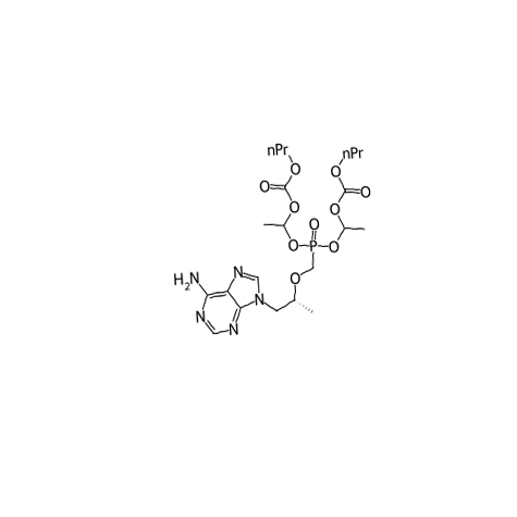 CCCOC(=O)OC(C)OP(=O)(CO[C@H](C)Cn1cnc2c(N)ncnc21)OC(C)OC(=O)OCCC